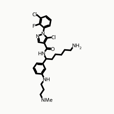 CNCCCNc1cccc(C(CCCCCN)NC(=O)c2cnn(-c3cccc(Cl)c3F)c2Cl)c1